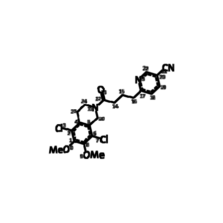 COc1c(Cl)c2c(c(Cl)c1OC)CN(C(=O)CCCc1ccc(C#N)cn1)CC2